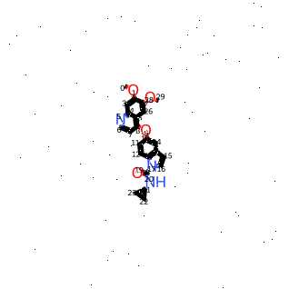 COc1cc2nccc(Oc3ccc4c(ccn4C(=O)NC4CC4)c3)c2cc1OC